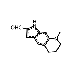 CN1CCCc2cc3cc(C=O)[nH]c3cc21